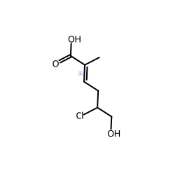 C/C(=C\CC(Cl)CO)C(=O)O